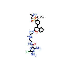 COc1ccc(C(CC(=O)NCC[N+](C)(C)CCNC(=O)c2nc(Cl)c(N)nc2N)c2ccccc2)cc1S(=O)(=O)CC(C)=N